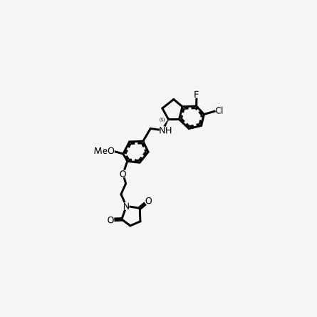 COc1cc(CN[C@H]2CCc3c2ccc(Cl)c3F)ccc1OCCN1C(=O)CCC1=O